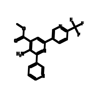 COC(=O)c1cc(-c2ccc(C(F)(F)F)nc2)nc(-c2cccnc2)c1N